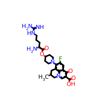 C[C@H]1Cc2c(N3CCC(OC(=O)[C@@H](N)CCCNC(=N)N)CC3)c(F)cc3c(=O)c(C(=O)O)cn(c23)C1